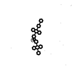 c1ccc(-c2ccc(-c3c4ccccc4c(-c4ccc5oc6cc(-c7c8ccccc8c(-c8ccccc8)c8ccccc78)ccc6c5c4)c4ccccc34)cc2)cc1